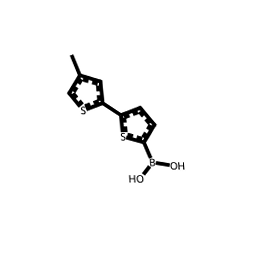 Cc1csc(-c2ccc(B(O)O)s2)c1